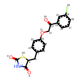 O=C1NC(=O)C(Cc2ccc(OCC(=O)c3cccc(F)c3)cc2)S1